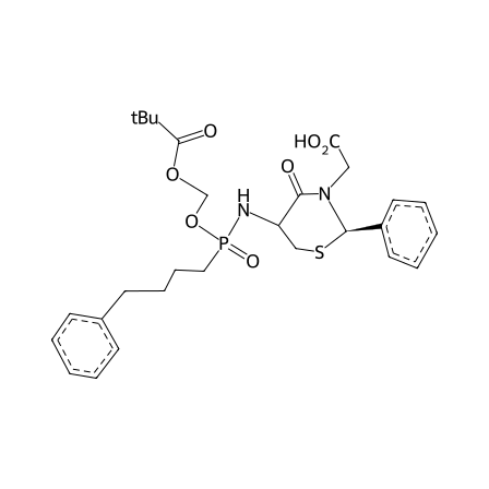 CC(C)(C)C(=O)OCOP(=O)(CCCCc1ccccc1)NC1CS[C@H](c2ccccc2)N(CC(=O)O)C1=O